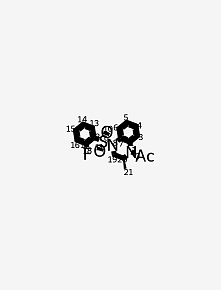 CC(=O)N1c2ccccc2N(S(=O)(=O)c2ccccc2F)C[C@@H]1C